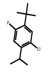 CC(C)c1cc(F)c(C(C)(C)C)cc1Cl